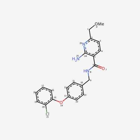 COCc1ccc(C(=O)NCc2ccc(Oc3ccccc3Cl)cc2)c(N)n1